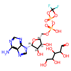 Nc1ncnc2c1ncn2[C@@H]1O[C@H](COP(=O)(O)OP2(=O)OC(F)(F)O2)[C@@H](O)[C@H]1O.O=CC(O)C(O)C(O)CO